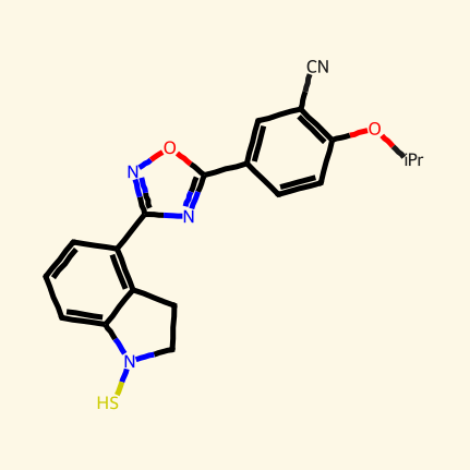 CC(C)Oc1ccc(-c2nc(-c3cccc4c3CCN4S)no2)cc1C#N